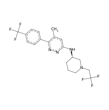 Cc1cc(N[C@@H]2CCCN(CC(F)(F)F)C2)nnc1-c1ccc(C(F)(F)F)cc1